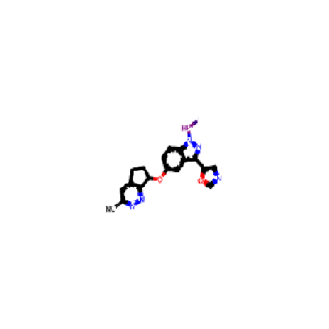 N#Cc1cc2c(nn1)C(Oc1ccc3c(c1)c(-c1cnco1)nn3PI)CC2